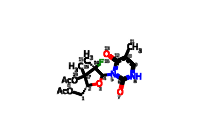 CC(=O)OC[C@H]1OC(n2c(=O)[nH]cc(C)c2=O)[C@](C)(F)C1(C)OC(C)=O